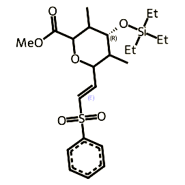 CC[Si](CC)(CC)O[C@@H]1C(C)C(/C=C/S(=O)(=O)c2ccccc2)OC(C(=O)OC)C1C